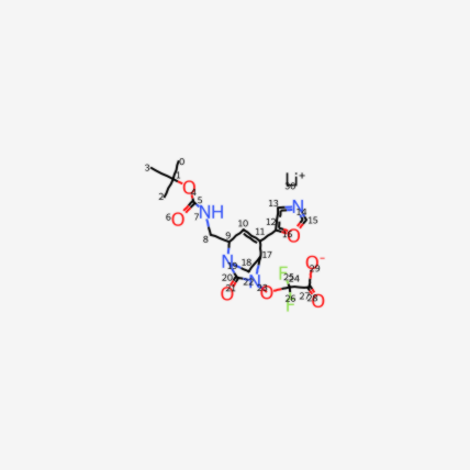 CC(C)(C)OC(=O)NCC1C=C(c2cnco2)C2CN1C(=O)N2OC(F)(F)C(=O)[O-].[Li+]